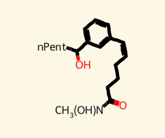 CCCCCC(O)c1cccc(/C=C\CCCC(=O)N(C)O)c1